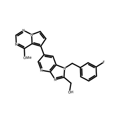 COc1ncnn2ccc(-c3cnc4nc(CO)n(Cc5cccc(F)c5)c4c3)c12